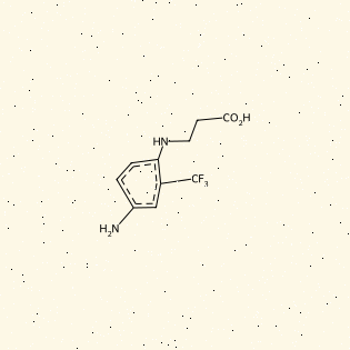 Nc1ccc(NCCC(=O)O)c(C(F)(F)F)c1